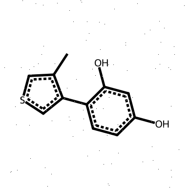 Cc1cscc1-c1ccc(O)cc1O